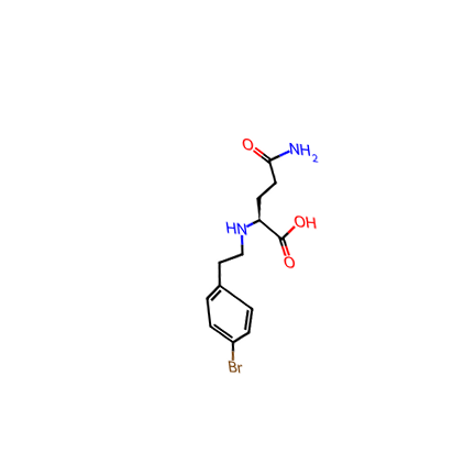 NC(=O)CC[C@H](NCCc1ccc(Br)cc1)C(=O)O